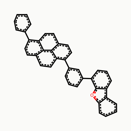 c1ccc(-c2ccc3ccc4c(-c5cccc(-c6cccc7c6oc6ccccc67)c5)ccc5ccc2c3c54)cc1